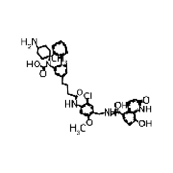 COc1cc(NC(=O)CCCc2ccc(-c3ccccc3)c(N(C(=O)O)C3(C)CCC(N)CC3)c2)c(Cl)cc1CNC[C@H](O)c1ccc(O)c2[nH]c(=O)ccc12